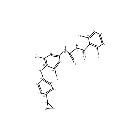 O=C(NC(=O)c1c(F)cccc1F)Nc1cc(Cl)c(Oc2cnc(C3CC3)nc2)c(Cl)c1